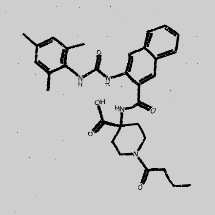 CCCC(=O)N1CCC(NC(=O)c2cc3ccccc3cc2NC(=O)Nc2c(C)cc(C)cc2C)(C(=O)O)CC1